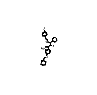 O=C(c1c[nH]c2cc(OCc3ccccc3)ccc12)C(NCCc1ccc(F)cc1)c1ccccc1